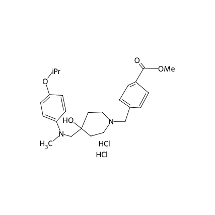 COC(=O)c1ccc(CN2CCC(O)(CN(C)c3ccc(OC(C)C)cc3)CC2)cc1.Cl.Cl